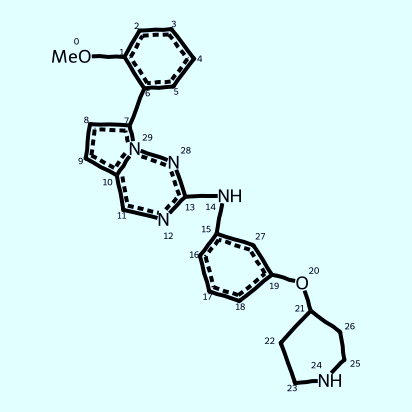 COc1ccccc1-c1ccc2cnc(Nc3cccc(OC4CCNCC4)c3)nn12